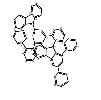 c1ccc(-c2cc(-c3ccccc3)c3c(c2)c2ccccc2n3-c2ccccc2-c2nc(-c3ccccc3-c3ccccc3)nc(-n3c4ccccc4c4ccccc43)n2)cc1